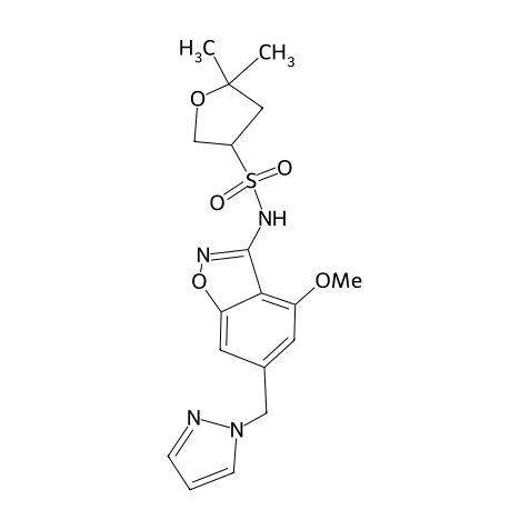 COc1cc(Cn2cccn2)cc2onc(NS(=O)(=O)C3COC(C)(C)C3)c12